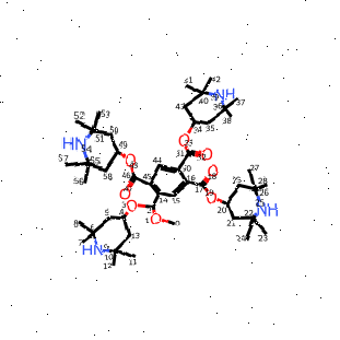 COC(OC1CC(C)(C)NC(C)(C)C1)c1cc(C(=O)OC2CC(C)(C)NC(C)(C)C2)c(C(=O)OC2CC(C)(C)NC(C)(C)C2)cc1C(=O)OC1CC(C)(C)NC(C)(C)C1